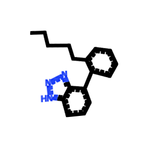 CCCCCc1ccccc1-c1cccc2[nH]nnc12